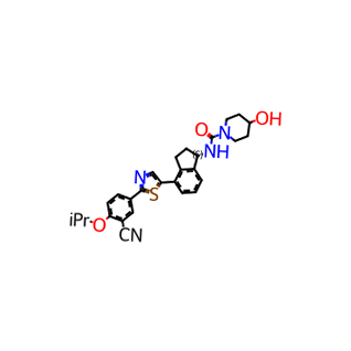 CC(C)Oc1ccc(-c2ncc(-c3cccc4c3CC[C@@H]4NC(=O)N3CCC(O)CC3)s2)cc1C#N